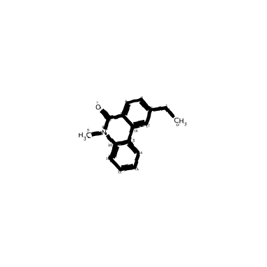 CCc1ccc2c(=O)n(C)c3ccccc3c2c1